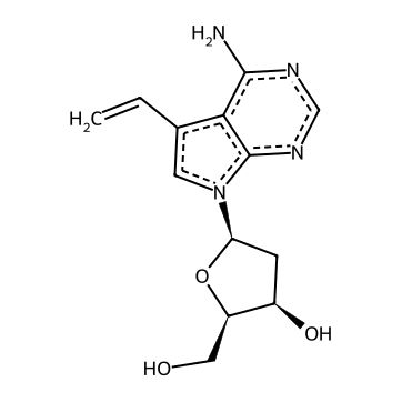 C=Cc1cn([C@H]2C[C@@H](O)[C@@H](CO)O2)c2ncnc(N)c12